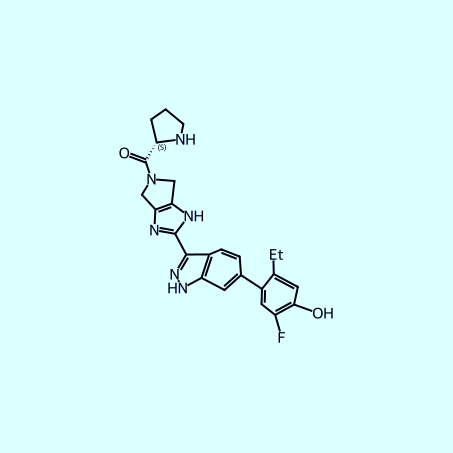 CCc1cc(O)c(F)cc1-c1ccc2c(-c3nc4c([nH]3)CN(C(=O)[C@@H]3CCCN3)C4)n[nH]c2c1